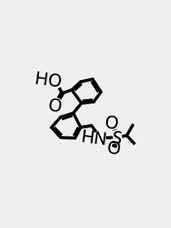 CC(C)S(=O)(=O)NCc1ccccc1-c1ccccc1C(=O)O